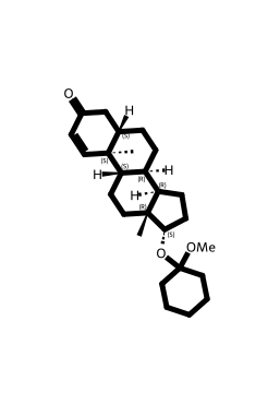 COC1(O[C@H]2CC[C@@H]3[C@@H]4CC[C@H]5CC(=O)C=C[C@]5(C)[C@H]4CC[C@@]23C)CCCCC1